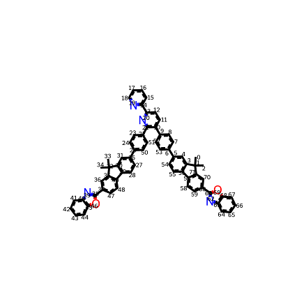 CC1(C)c2cc(-c3ccc(-c4ccc(-c5ccccn5)nc4-c4ccc(-c5ccc6c(c5)C(C)(C)c5cc(-c7nc8ccccc8o7)ccc5-6)cc4)cc3)ccc2-c2ccc(-c3nc4ccccc4o3)cc21